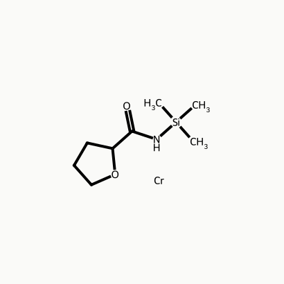 C[Si](C)(C)NC(=O)C1CCCO1.[Cr]